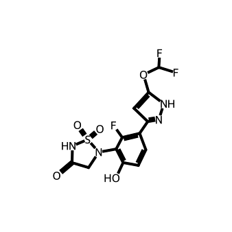 O=C1CN(c2c(O)ccc(-c3cc(OC(F)F)[nH]n3)c2F)S(=O)(=O)N1